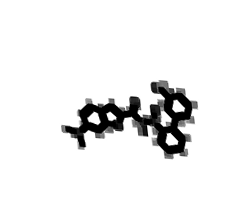 CN(C)c1ccc2cc(C(=O)N[S+]([O-])c3ccccc3-c3cccc(Cl)c3)oc2c1